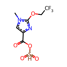 Cn1cc(C(=O)O[SH](=O)=O)nc1OCC(F)(F)F